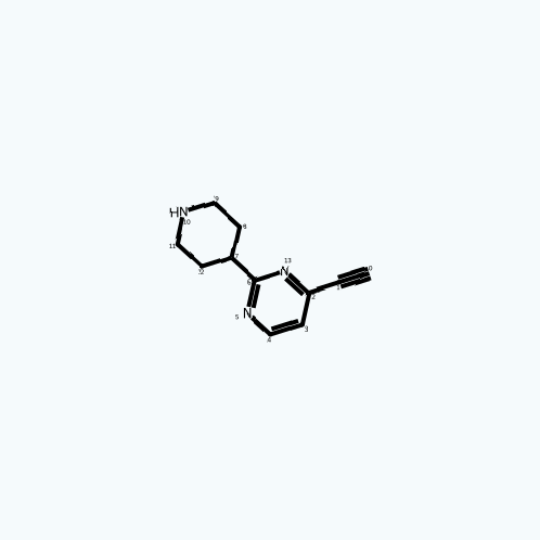 C#Cc1ccnc(C2CCNCC2)n1